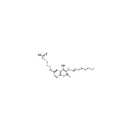 CCCCCC/C=C/Oc1c(O)c2cc(OCCCCC(=O)O)ccc2oc1=O